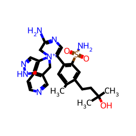 Cc1cc(C2=CN=C(N)C[N+]2(Cc2cccnc2)c2cn[nH]c2)c(S(N)(=O)=O)cc1CCC(C)(C)O